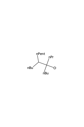 CCCCCC(CCCC)C([O])(CCC)CCCC